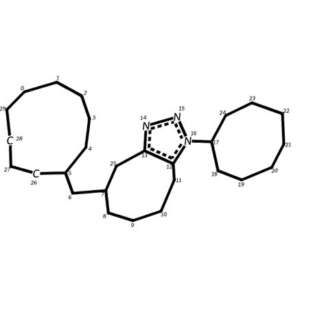 C1CCCCC(CC2CCCCc3c(nnn3C3CCCCCCC3)C2)CCCC1